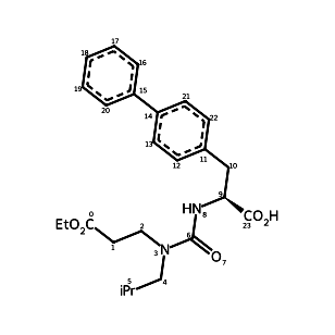 CCOC(=O)CCN(CC(C)C)C(=O)N[C@@H](Cc1ccc(-c2ccccc2)cc1)C(=O)O